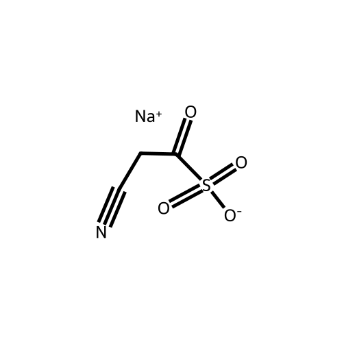 N#CCC(=O)S(=O)(=O)[O-].[Na+]